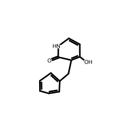 O=c1[nH]ccc(O)c1Cc1ccccc1